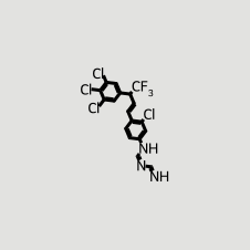 N=C/N=C\Nc1ccc(/C=C/C(c2cc(Cl)c(Cl)c(Cl)c2)C(F)(F)F)c(Cl)c1